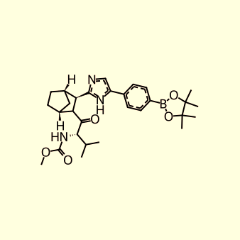 COC(=O)N[C@H](C(=O)C1[C@@H]2CC[C@@H](C2)[C@H]1c1ncc(-c2ccc(B3OC(C)(C)C(C)(C)O3)cc2)[nH]1)C(C)C